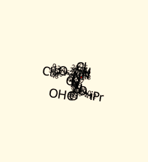 Cc1cc(OCCCc2c3n(c4c(-c5c(C)nn(C)c5C)c(Cl)ccc24)CCCN(Cc2cc(OC=O)cc(OCCCC(C)C)n2)C3=O)cc(C)c1Cl